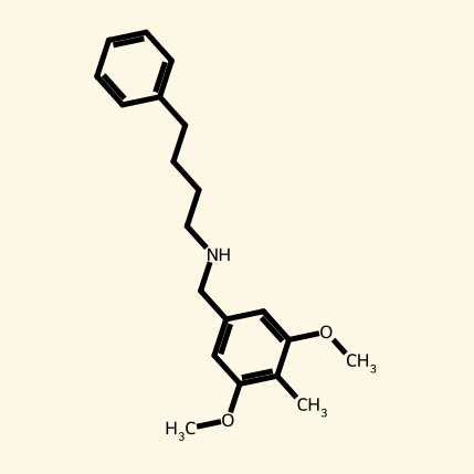 COc1cc(CNCCCCc2ccccc2)cc(OC)c1C